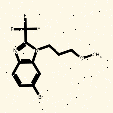 COCCCn1c(C(F)(F)F)nc2ccc(Br)cc21